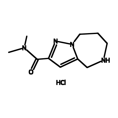 CN(C)C(=O)c1cc2n(n1)CCCNC2.Cl